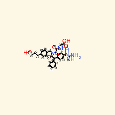 N=C(N)NCCC[C@H](C(=O)NCC(=O)O)N(Cc1ccc(CCCO)cc1)C(=O)C(c1ccccc1)c1ccccc1